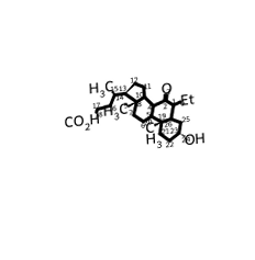 CCC1C(=O)C2C(CC[C@@]3(C)C2CC[C@@H]3[C@H](C)CCC(=O)O)[C@@]2(C)CC[C@@H](O)CC12